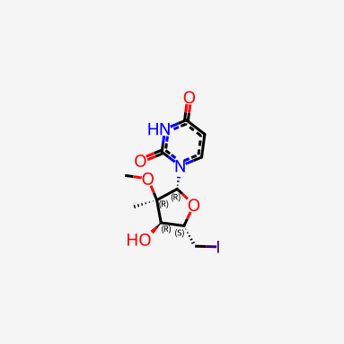 CO[C@]1(C)[C@H](O)[C@@H](CI)O[C@H]1n1ccc(=O)[nH]c1=O